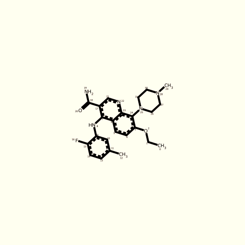 CCOc1ccc2c(Nc3cc(C)ccc3F)c(C(N)=O)cnc2c1N1CCN(C)CC1